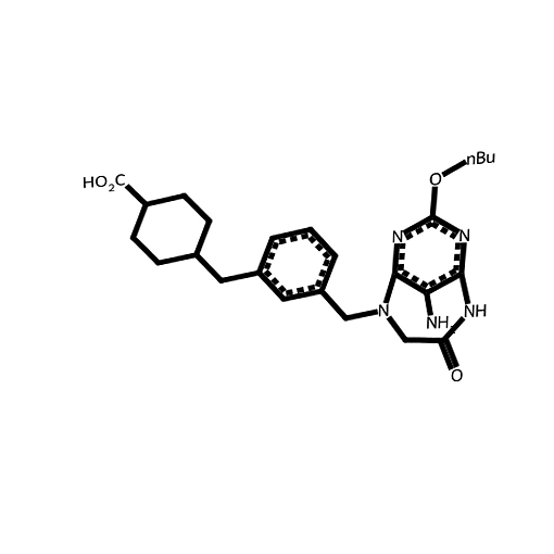 CCCCOc1nc2c(N)c(n1)N(Cc1cccc(CC3CCC(C(=O)O)CC3)c1)CC(=O)N2